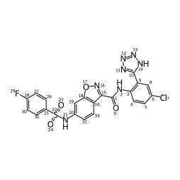 O=C(Nc1ccc(Cl)cc1-c1nnn[nH]1)c1noc2cc(NS(=O)(=O)c3ccc(F)cc3)ccc12